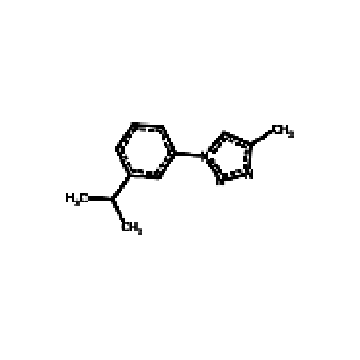 Cc1cn(-c2cccc(C(C)C)c2)nn1